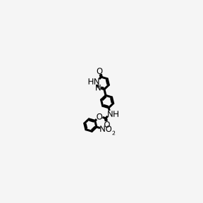 O=C(Nc1ccc(-c2ccc(=O)[nH]n2)cc1)Oc1ccccc1[N+](=O)[O-]